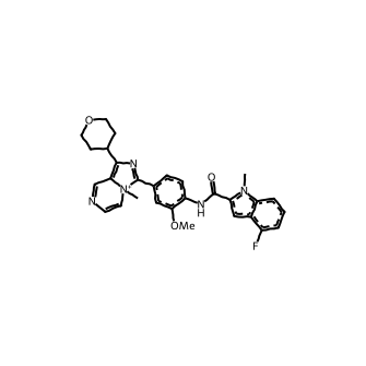 COc1cc(C2=NC(C3CCOCC3)=C3C=NC=C[N+]23C)ccc1NC(=O)c1cc2c(F)cccc2n1C